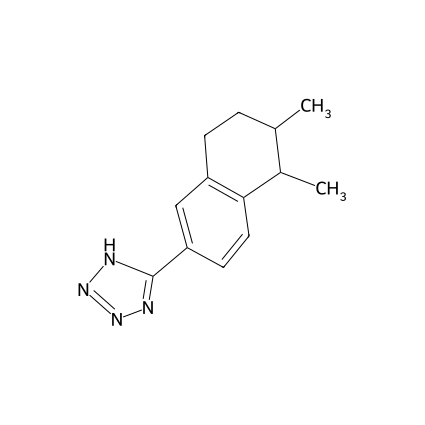 CC1CCc2cc(-c3nnn[nH]3)ccc2C1C